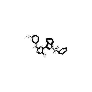 C[C@@H]1CCC[C@@H](Nc2ncc(Cl)c(-c3cn(S(=O)(=O)c4ccccc4)c4ccccc34)n2)C1